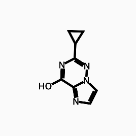 Oc1nc(C2CC2)nn2ccnc12